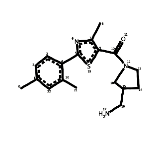 Cc1ccc(-c2nc(C)c(C(=O)N3CCC(CN)C3)s2)c(C)c1